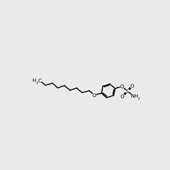 CCCCCCCCCOc1ccc(OS(N)(=O)=O)cc1